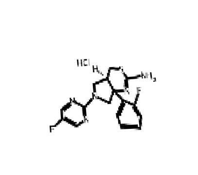 Cl.NC1=NC2(c3ccccc3F)CN(c3ncc(F)cn3)C[C@H]2CS1